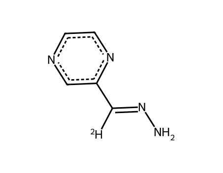 [2H]C(=NN)c1cnccn1